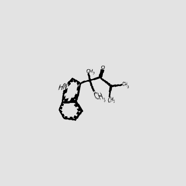 CC(C)C(=O)C(C)(C)c1c[nH]c2ccccc12